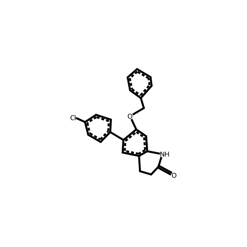 O=C1CCc2cc(-c3ccc(Cl)cc3)c(OCc3ccccc3)cc2N1